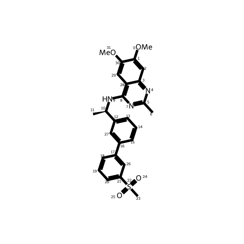 COc1cc2nc(C)nc(N[C@H](C)c3cccc(-c4cccc(S(C)(=O)=O)c4)c3)c2cc1OC